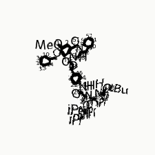 COc1cc2c(cc1OCc1ccccc1)N(C(=O)OCc1ccc(NC(=O)[C@H](CO[Si](C(C)C)(C(C)C)C(C)C)NC(=O)[C@@H](NC(=O)OC(C)(C)C)C(C)C)cc1)C[C@@H]1Cc3ccccc3N1C2=O